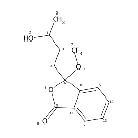 CC(O)CCC1(OC(F)(F)F)OC(=O)c2ccccc21